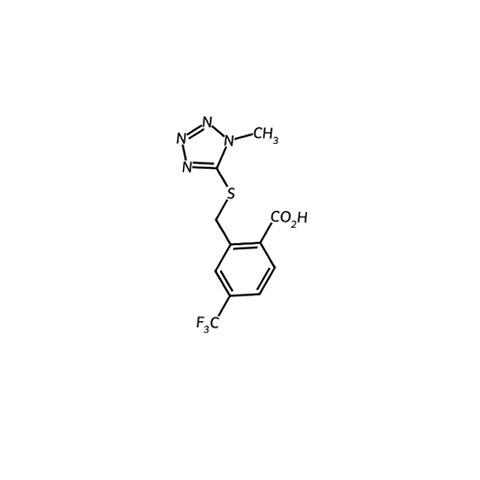 Cn1nnnc1SCc1cc(C(F)(F)F)ccc1C(=O)O